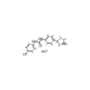 Cl.O=C(Nc1ccc(Cl)cc1)Nc1ccc(C2CCNC2)cc1